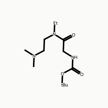 CCN(CCN(C)C)C(=O)CNC(=O)OC(C)(C)C